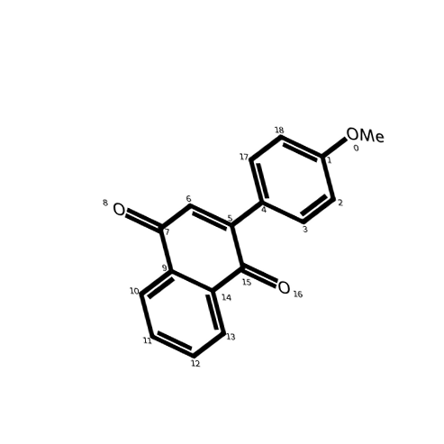 COc1ccc(C2=CC(=O)c3ccccc3C2=O)cc1